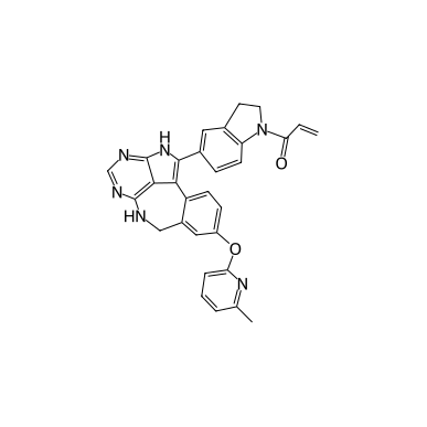 C=CC(=O)N1CCc2cc(-c3[nH]c4ncnc5c4c3-c3ccc(Oc4cccc(C)n4)cc3CN5)ccc21